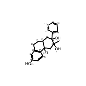 CCC12CC(C)(O)C(O)(c3cccnc3)CC1CCc1cc(O)ccc12